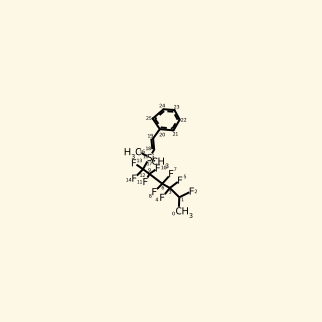 CC(F)C(F)(F)C(F)(F)C(F)(F)C(F)(F)[Si](C)(C)C=Cc1ccccc1